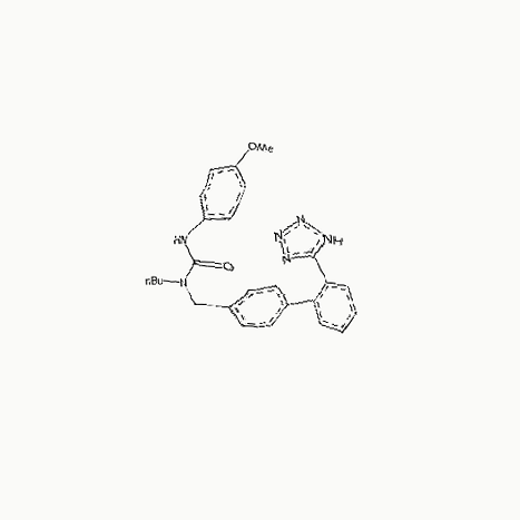 CCCCN(Cc1ccc(-c2ccccc2-c2nnn[nH]2)cc1)C(=O)Nc1ccc(OC)cc1